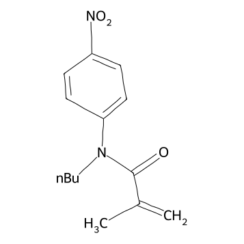 C=C(C)C(=O)N(CCCC)c1ccc([N+](=O)[O-])cc1